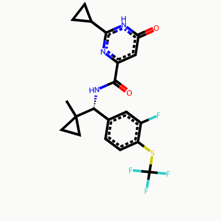 CC1([C@H](NC(=O)c2cc(=O)[nH]c(C3CC3)n2)c2ccc(SC(F)(F)F)c(F)c2)CC1